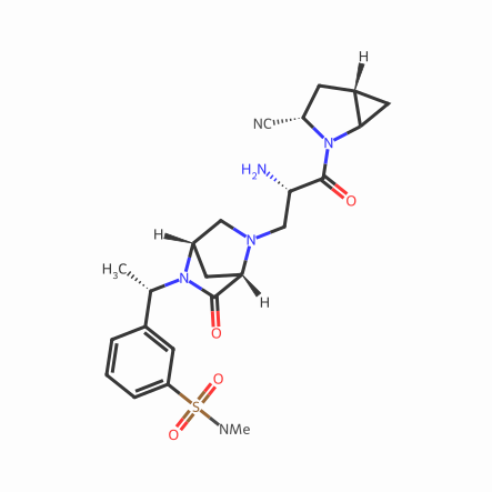 CNS(=O)(=O)c1cccc([C@H](C)N2C(=O)[C@@H]3C[C@H]2CN3C[C@H](N)C(=O)N2C3C[C@H]3C[C@H]2C#N)c1